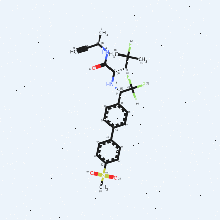 C#C[C@@H](C)NC(=O)[C@H](CC(C)(C)F)N[C@@H](c1ccc(-c2ccc(S(C)(=O)=O)cc2)cc1)C(F)(F)F